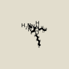 C=CCCCCOc1cnc(N)nc1NCCCC